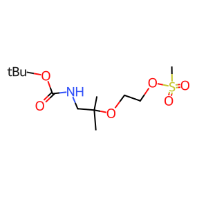 CC(C)(C)OC(=O)NCC(C)(C)OCCOS(C)(=O)=O